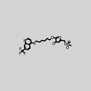 CS(=O)(=O)OCc1cc(=O)c(OCCCCCCSc2ccnc3cc(C(F)(F)F)ccc23)co1